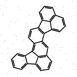 c1ccc2c(c1)c1cccc3cc4c(ccc5c6cccc7cccc(c76)c54)c2c31